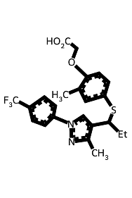 CCC(Sc1ccc(OCC(=O)O)c(C)c1)c1cn(-c2ccc(C(F)(F)F)cc2)nc1C